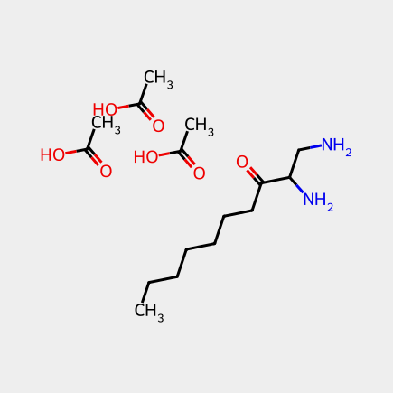 CC(=O)O.CC(=O)O.CC(=O)O.CCCCCCCC(=O)C(N)CN